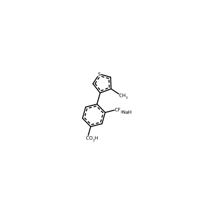 Cc1cscc1-c1ccc(C(=O)O)cc1C(F)(F)F.[NaH]